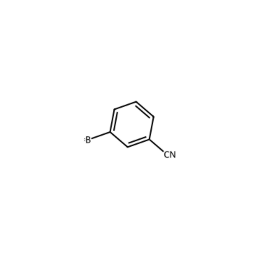 [B]c1cccc(C#N)c1